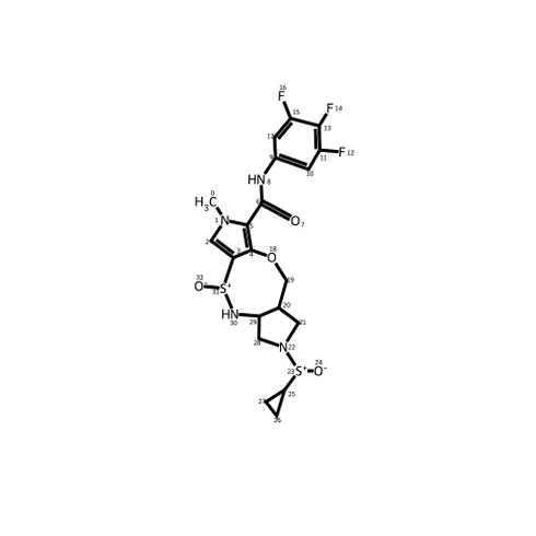 Cn1cc2c(c1C(=O)Nc1cc(F)c(F)c(F)c1)OCC1CN([S+]([O-])C3CC3)CC1N[S+]2[O-]